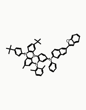 Cc1cc2c3c(c1)N(c1c(C)cccc1C)c1cc(N(c4ccccc4)c4ccc5cc(-c6cc7ccccc7o6)ccc5c4)ccc1B3c1cc(C(C)(C)C)ccc1N2c1ccc(C(C)(C)C)cc1